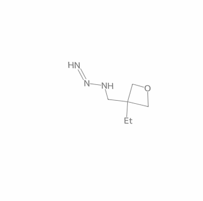 CCC1(CNN=N)COC1